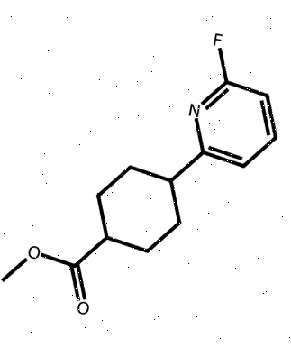 COC(=O)C1CCC(c2cccc(F)n2)CC1